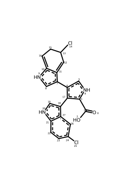 O=C(O)c1[nH]cc(-c2c[nH]c3c2=CC(Cl)CC=3)c1-c1c[nH]c2ccc(Cl)cc12